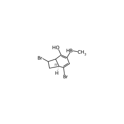 CBC1=C(O)C2C(Br)C[C@@H]2C(Br)=C1